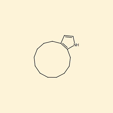 c1cc2c([nH]1)CCCCCCCCCCC2